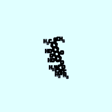 COc1cc2c(cc1C)=C(O)C1C(=O)c3c(O)cc(OC4CC(C)(N)C(O)C(C)O4)cc3C(=O)C1C=2